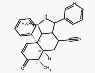 C[C@@H]1C(=O)C=C[C@@]2(c3ccccc3)C3C(C(C#N)C[C@@H]12)C(c1cccnc1)NN3C